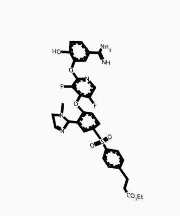 CCOC(=O)CCc1ccc(S(=O)(=O)c2ccc(Oc3c(F)cnc(Oc4cc(C(=N)N)ccc4O)c3F)c(C3N=CCN3C)c2)cc1